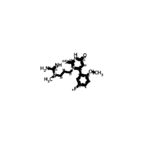 COc1ccc(F)cc1-c1cc(=O)[nH]c(=S)n1CCCN(C)C(=N)N